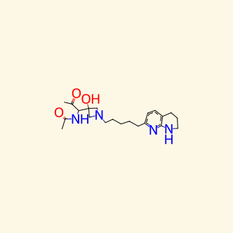 CC(=O)NC(C(C)=O)C1(O)CN(CCCCCc2ccc3c(n2)NCCC3)C1